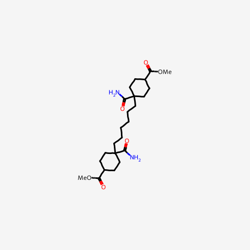 COC(=O)C1CCC(CCCCCCC2(C(N)=O)CCC(C(=O)OC)CC2)(C(N)=O)CC1